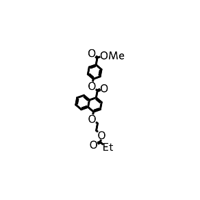 CCC(=O)OCCOc1ccc(C(=O)Oc2ccc(C(=O)OC)cc2)c2ccccc12